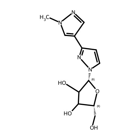 Cn1cc(-c2ccn([C@@H]3O[C@H](CO)C(O)C3O)n2)cn1